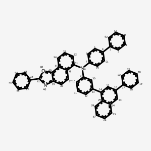 c1ccc(-c2ccc(N(c3cccc(-c4cc(-c5ccccc5)cc5ccccc45)c3)c3cccc4c3ccc3nc(-c5ccccc5)oc34)cc2)cc1